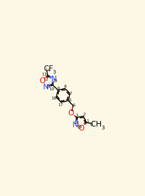 Cc1cc(OCc2ccc(-c3noc(C(F)(F)F)n3)cc2)no1